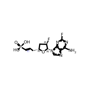 Nc1nc(F)nc2c1ncn2[C@@H]1O[C@H](C/C=C/P(=O)(O)O)C[C@H]1F